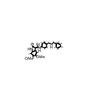 CCC(Nc1ccc(CNCc2ccccc2)cc1)=C1C(=O)Nc2cc(OC)c(OC)cc21